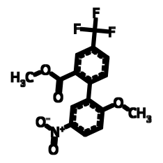 COC(=O)c1cc(C(F)(F)F)ccc1-c1cc([N+](=O)[O-])ccc1OC